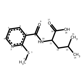 CSc1ncccc1C(=O)NC(CC(C)C)C(=O)O